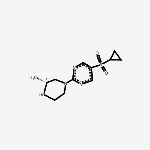 C[C@@H]1CN(c2ncc(S(=O)(=O)C3CC3)cn2)CCN1